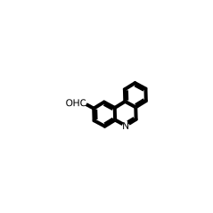 O=Cc1ccc2ncc3ccccc3c2c1